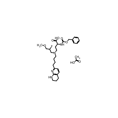 CC(=O)O.COCC(F)CN(CCCCc1ccc2c(n1)NCCC2)CCC(NC(=O)OCc1ccccc1)C(=O)O